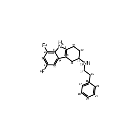 Fc1cc(F)c2[nH]c3c(c2c1)CC(NCCc1ccccc1)CC3